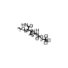 CCON=C(C([NH])=O)c1csc(NC(=O)OCC(Cl)(Cl)Cl)n1